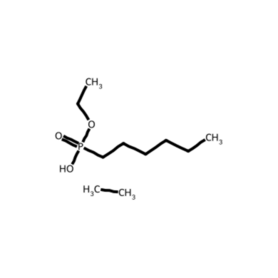 CC.CCCCCCP(=O)(O)OCC